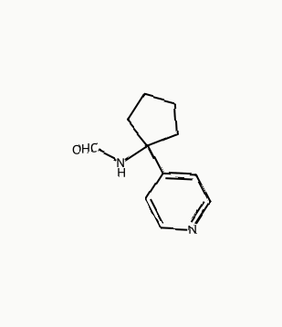 O=CNC1(c2ccncc2)CCCC1